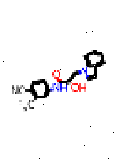 N#Cc1ccc(NC(=O)[C@@H](O)Cn2ccc3ccccc32)cc1C(F)(F)F